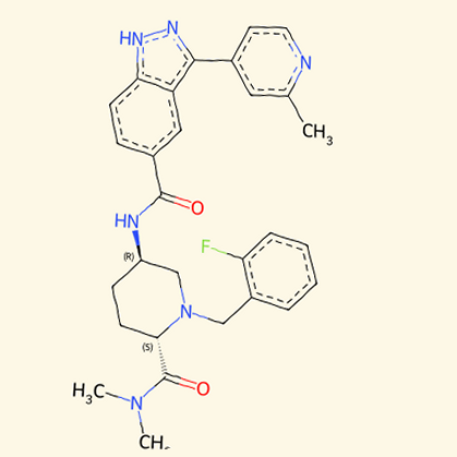 Cc1cc(-c2n[nH]c3ccc(C(=O)N[C@@H]4CC[C@@H](C(=O)N(C)C)N(Cc5ccccc5F)C4)cc23)ccn1